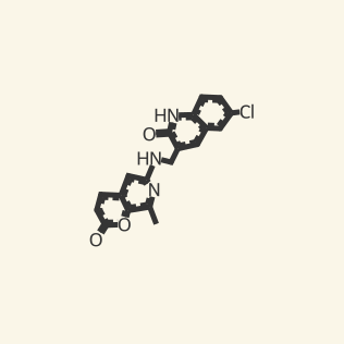 Cc1nc(NCc2cc3cc(Cl)ccc3[nH]c2=O)cc2ccc(=O)oc12